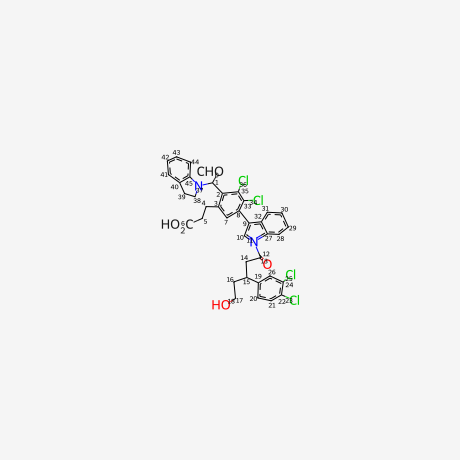 O=CC(c1c(CCC(=O)O)cc(-c2cn(C(=O)CC(CCO)c3ccc(Cl)c(Cl)c3)c3ccccc23)c(Cl)c1Cl)N1CCc2ccccc21